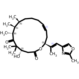 C/C(=C\c1coc(C)n1)[C@@H]1C/C=C\CCC[C@H](C)[C@H](C)[C@@H](C)C(=O)C(C)(C)[C@@H](O)CC(=O)O1